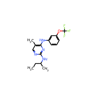 CCC(C)Nc1ncc(C)c(Nc2cccc(OC(F)(F)F)c2)n1